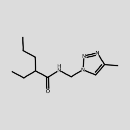 CCCC(CC)C(=O)NCn1cc(C)nn1